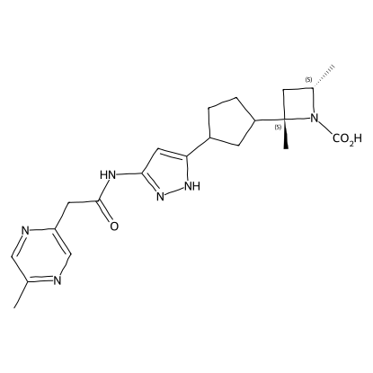 Cc1cnc(CC(=O)Nc2cc(C3CCC([C@]4(C)C[C@H](C)N4C(=O)O)C3)[nH]n2)cn1